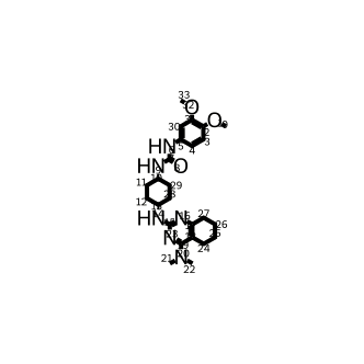 COc1ccc(NC(=O)N[C@H]2CC[C@@H](Nc3nc4c(c(N(C)C)n3)CCCC4)CC2)cc1OC